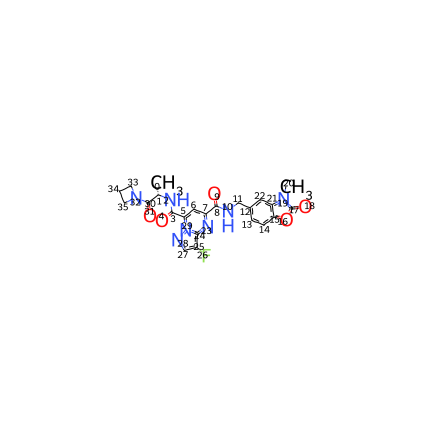 C[C@H](NC(=O)c1cc(C(=O)NCc2ccc3oc(=O)n(C)c3c2)nc2c(F)cnn12)C(=O)N1CCC1